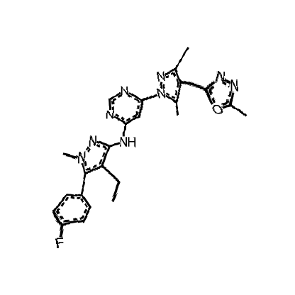 CCc1c(Nc2cc(-n3nc(C)c(-c4nnc(C)o4)c3C)ncn2)nn(C)c1-c1ccc(F)cc1